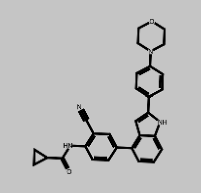 N#Cc1cc(-c2cccc3[nH]c(-c4ccc(N5CCOCC5)cc4)cc23)ccc1NC(=O)C1CC1